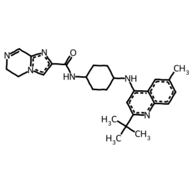 Cc1ccc2nc(C(C)(C)C)cc(NC3CCC(NC(=O)c4cn5c(n4)C=NCC5)CC3)c2c1